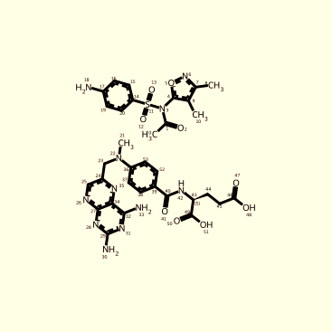 CC(=O)N(c1onc(C)c1C)S(=O)(=O)c1ccc(N)cc1.CN(Cc1cnc2nc(N)nc(N)c2n1)c1ccc(C(=O)N[C@@H](CCC(=O)O)C(=O)O)cc1